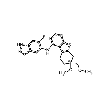 COC[C@]1(OC)CCc2c(sc3ncnc(Nc4cc5cn[nH]c5cc4F)c23)C1